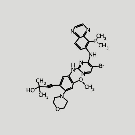 COc1cc(N2CCOCC2)c(C#CC(C)(C)O)cc1Nc1ncc(Br)c(Nc2ccc3nccnc3c2P(C)C)n1